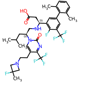 Cc1cccc(C)c1-c1cc([C@H](CC(=O)O)NC[C@H](CC(C)C)n2cc(CCN3CC(C)(F)C3)c(C(F)(F)F)nc2=O)c(F)c(C(F)(F)F)c1